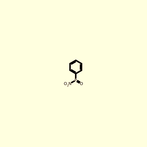 O=[N+]([O-])[P](=O)c1ccccc1